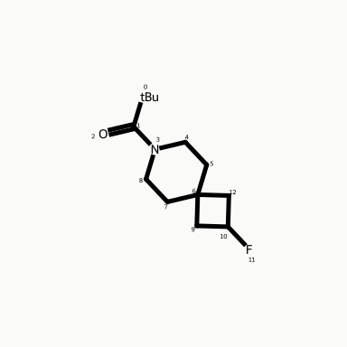 CC(C)(C)C(=O)N1CCC2(CC1)CC(F)C2